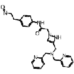 O=NCCc1ccc(NC(=O)Cn2cc(CN(Cc3ccccn3)Cc3ccccn3)[nH]2)cc1